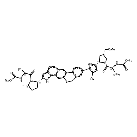 CC[C@H](C)[C@H](NC(=O)OC)C(=O)N1C[C@@H](COC)C[C@H]1c1nc(C#N)c(-c2ccc3c(c2)COc2cc4c(ccc5nc([C@@H]6CC[C@H](C)N6C(=O)[C@@H](NC(=O)OC)C(C)C)[nH]c54)cc2-3)[nH]1